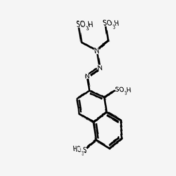 O=S(=O)(O)CN(CS(=O)(=O)O)N=Nc1ccc2c(S(=O)(=O)O)cccc2c1S(=O)(=O)O